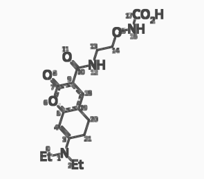 CCN(CC)C1=Cc2oc(=O)c(C(=O)NCCONC(=O)O)cc2CC1